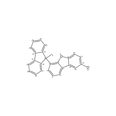 CC1(c2cccc3c2oc2ccc(Cl)cc23)c2ccccc2-c2ccccc21